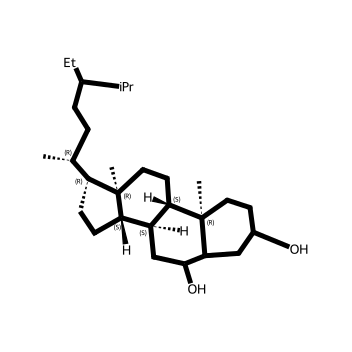 CCC(CC[C@@H](C)[C@H]1CC[C@H]2[C@@H]3CC(O)C4CC(O)CC[C@]4(C)[C@H]3CC[C@]12C)C(C)C